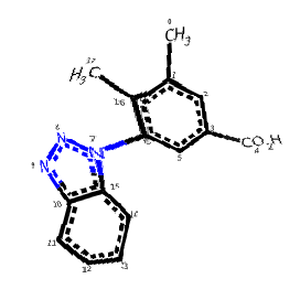 Cc1cc(C(=O)O)cc(-n2nnc3ccccc32)c1C